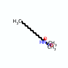 CCCCCCCCCCCCCCCCCC(=O)NCC[N+](C)(C)[O-]